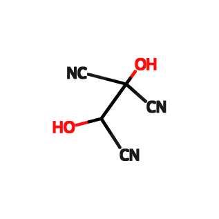 N#CC(O)C(O)(C#N)C#N